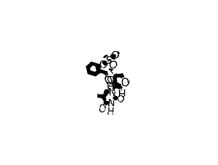 Cc1cn([C@@H]2O[C@@]3(COS(C)(=O)=O)CO[C@@H]2[C@@H]3OCc2ccccc2)c(=O)[nH]c1=O